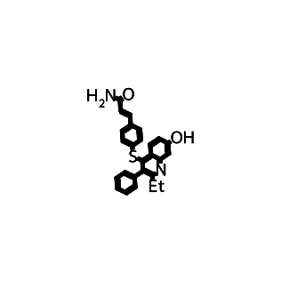 CCc1nc2cc(O)ccc2c(Sc2ccc(/C=C/C(N)=O)cc2)c1-c1ccccc1